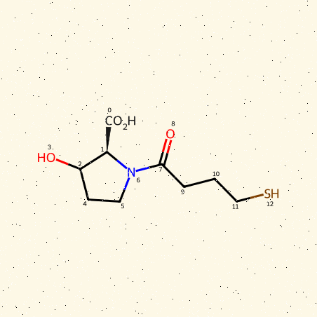 O=C(O)[C@@H]1C(O)CCN1C(=O)CCCS